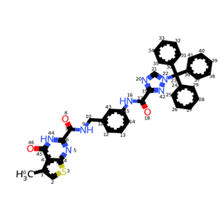 Cc1csc2nc(C(=O)NCc3cccc(NC(=O)c4ncn(C(c5ccccc5)(c5ccccc5)c5ccccc5)n4)c3)[nH]c(=O)c12